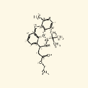 CCOC(=O)C[C@H](N[S@+]([O-])C(C)(C)C)c1cccc(Oc2ccccc2C)c1